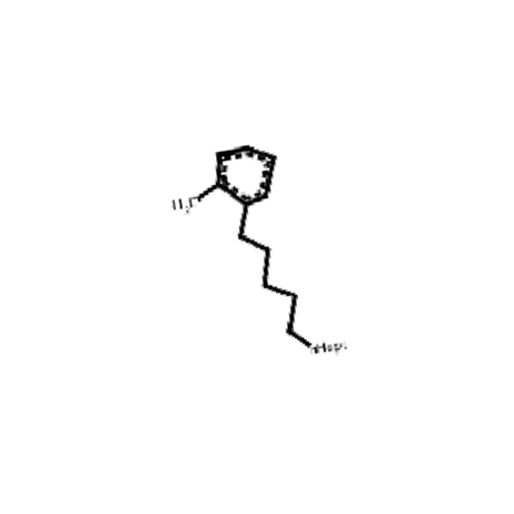 [CH2]c1ccccc1CCCCCCCCCCCC